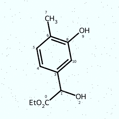 CCOC(=O)C(O)c1ccc(C)c(O)c1